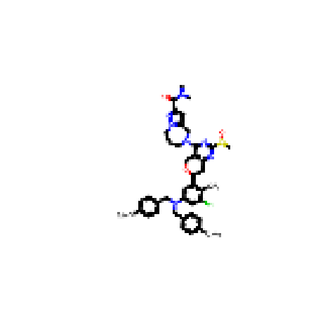 COc1ccc(CN(Cc2ccc(OC)cc2)c2cc(Cl)c(C(F)(F)F)c(C3Cc4nc([S+](C)[O-])nc(N5CCCn6nc(C(=O)N(C)C)cc6C5)c4CO3)c2)cc1